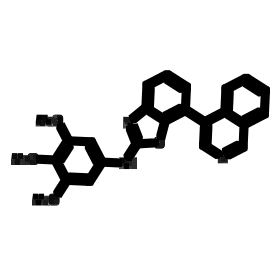 COc1cc(Nc2nc3cccc(-c4cncc5ccccc45)c3o2)cc(OC)c1OC